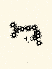 Cc1cc(-c2ccccc2)c2ccc3ccc(-c4cccc(-c5ccc(-c6ccc(-c7nc(-c8ccccc8)cc(-c8ccccc8)n7)cc6)cc5)c4)nc3c2n1